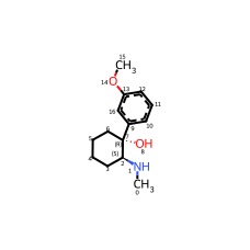 CN[C@H]1CCCC[C@@]1(O)c1cccc(OC)c1